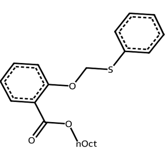 CCCCCCCCOC(=O)c1ccccc1OCSc1ccccc1